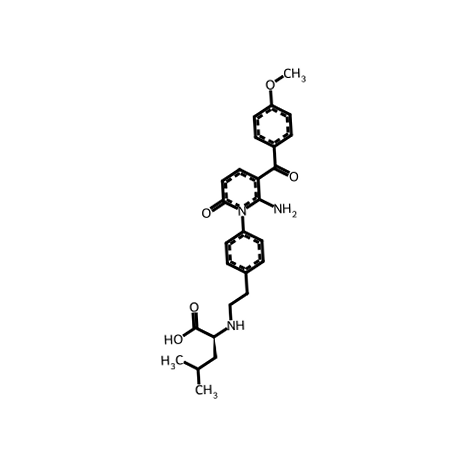 COc1ccc(C(=O)c2ccc(=O)n(-c3ccc(CCN[C@@H](CC(C)C)C(=O)O)cc3)c2N)cc1